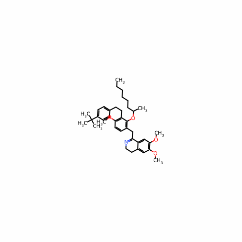 CCCCCCC(C)Oc1c(CC2=NCCc3cc(OC)c(OC)cc32)ccc(OC)c1CCc1ccc(C(C)(C)C)cc1